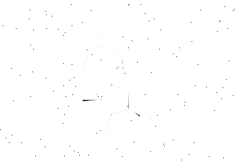 B[C@@H]1O[C@@]2(CCSP(C)(=O)SC2)[C@H](C)C1C